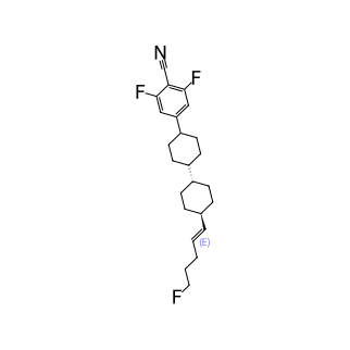 N#Cc1c(F)cc(C2CCC([C@H]3CC[C@H](/C=C/CCCF)CC3)CC2)cc1F